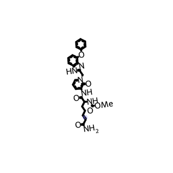 COC(=O)NC(CC/C=C/C(N)=O)C(=O)Nc1cccn(Cc2nc3c(Oc4ccccc4)cccc3[nH]2)c1=O